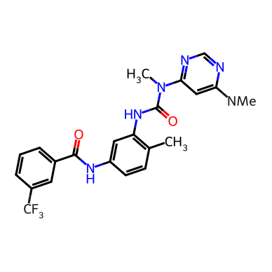 CNc1cc(N(C)C(=O)Nc2cc(NC(=O)c3cccc(C(F)(F)F)c3)ccc2C)ncn1